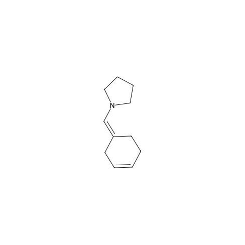 C1=CCC(=CN2CCCC2)CC1